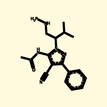 CC(=O)Nc1c(C#N)c(-c2ccccc2)nn1C(CNP)C(C)C